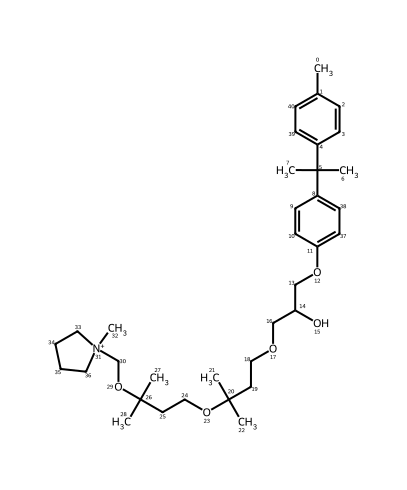 Cc1ccc(C(C)(C)c2ccc(OCC(O)COCCC(C)(C)OCCC(C)(C)OC[N+]3(C)CCCC3)cc2)cc1